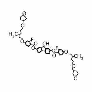 CC(CCCOCC1CCC2OC2C1)CCOc1ccc(C(=O)Oc2ccc3c(c2)C(C)c2cc(OC(=O)c4ccc(OCCC(C)CCCOCC5CCC6OC6C5)cc4F)ccc2-3)c(F)c1